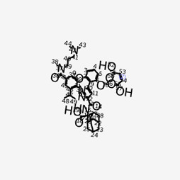 COc1cccc(OC)c1-c1cc(C(=O)NC2(C(=O)O)C3CC4CC(C3)CC2C4)nn1-c1ccc(C(=O)N(C)CCCN(C)C)cc1C(C)C.O=C(O)/C=C\C(=O)O